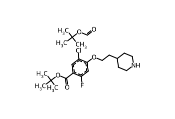 CC(C)(C)OC(=O)c1cc(Cl)c(OCCC2CCNCC2)cc1F.CC(C)(C)OC=O